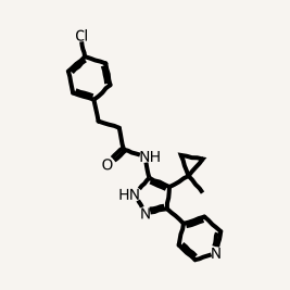 CC1(c2c(-c3ccncc3)n[nH]c2NC(=O)CCc2ccc(Cl)cc2)CC1